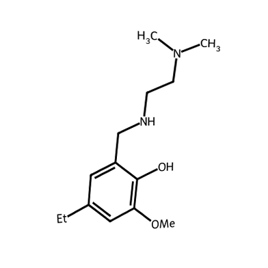 CCc1cc(CNCCN(C)C)c(O)c(OC)c1